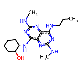 CCCNc1nc(NC)nc2c(N[C@H]3CCCC[C@@H]3O)nc(NC)nc12